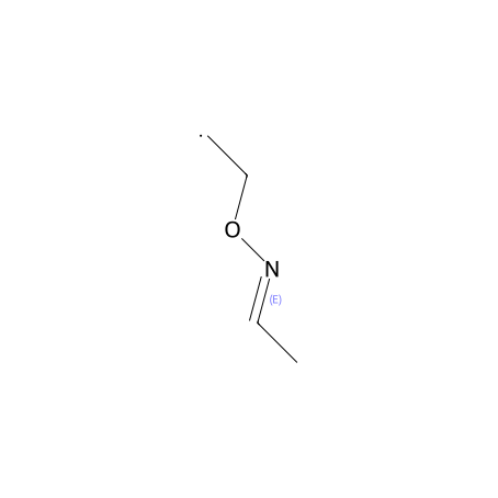 [CH2]CO/N=C/C